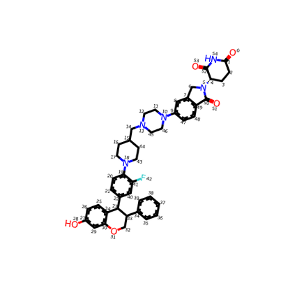 O=C1CC[C@H](N2Cc3cc(N4CCN(CC5CCN(c6ccc(C7c8ccc(O)cc8OCC7c7ccccc7)cc6F)CC5)CC4)ccc3C2=O)C(=O)N1